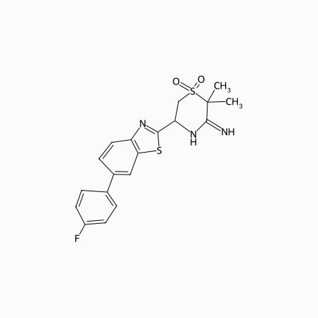 CC1(C)C(=N)NC(c2nc3ccc(-c4ccc(F)cc4)cc3s2)CS1(=O)=O